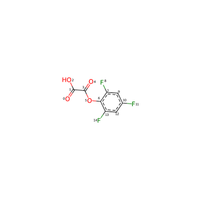 O=C(O)C(=O)Oc1c(F)cc(F)cc1F